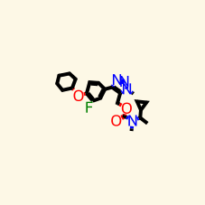 CC(C1CC1)N(C)C(=O)OCc1c(-c2ccc(OC3CCCCC3)c(F)c2)nnn1C